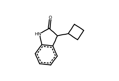 O=C1Nc2ccccc2C1C1CCC1